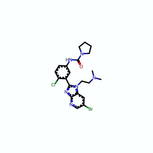 CN(C)CCn1c(-c2cc(NC(=O)N3CCCC3)ccc2Cl)nc2ncc(Br)cc21